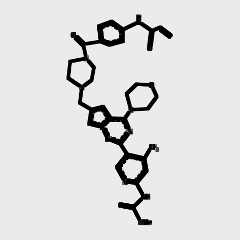 C=CC(=O)Nc1ccc(C(=O)N2CCN(Cc3cc4c(N5CCOCC5)nc(-c5cnc(NC(=O)OC)cc5C(F)(F)F)nn4c3)CC2)cc1